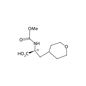 COC(=O)N[C@@H](CC1CCOCC1)C(=O)O